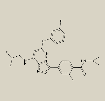 Cc1cc(-c2cnc3c(NCC(F)F)cc(Oc4cccc(F)c4)nn23)ccc1C(=O)NC1CC1